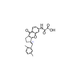 Cc1ccc(C)c(/C=C2\CCc3c2oc2cc(NC(=O)C(=O)O)ccc2c3=O)c1